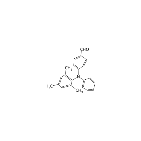 Cc1cc(C)c(N(c2ccccc2)c2ccc(C=O)cc2)c(C)c1